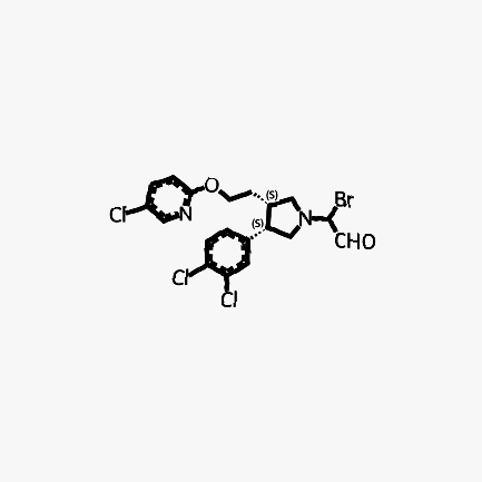 O=CC(Br)N1C[C@@H](CCOc2ccc(Cl)cn2)[C@@H](c2ccc(Cl)c(Cl)c2)C1